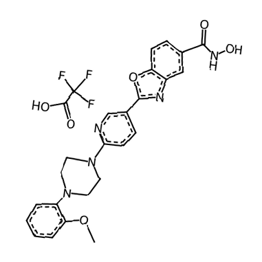 COc1ccccc1N1CCN(c2ccc(-c3nc4cc(C(=O)NO)ccc4o3)cn2)CC1.O=C(O)C(F)(F)F